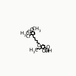 CCCc1c(OCCCCCCc2ccc(OC)c(OC)c2Cl)ccc(C(=O)O)c1O